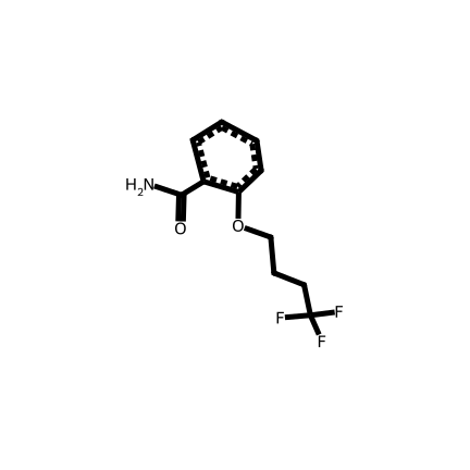 NC(=O)c1ccccc1OCCCC(F)(F)F